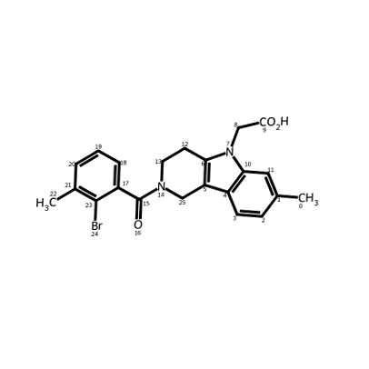 Cc1ccc2c3c(n(CC(=O)O)c2c1)CCN(C(=O)c1cccc(C)c1Br)C3